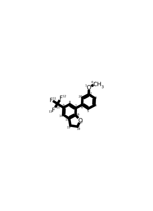 COc1cccc(-c2cc(C(F)(F)F)cc3c2O[CH]C3)c1